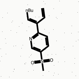 C=CC(=CCCCC)c1ccc(S(C)(=O)=O)cn1